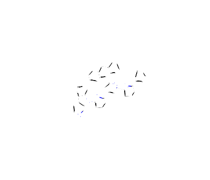 Cc1ccc2c(c1)c1ccncc1n2-c1cccc(-c2cc(-c3cccc(-c4ccccc4)n3)nc(-c3c4ccccc4cc4ccccc34)c2)n1